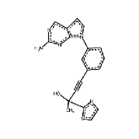 CC(O)(C#Cc1cccc(-n2ccc3cnc(N)nc32)c1)c1nccs1